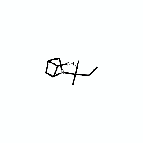 CCC(C)(C)N1CC2CC1C2N